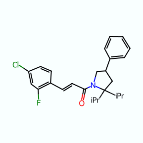 CC(C)C1(C(C)C)CC(c2ccccc2)CN1C(=O)/C=C/c1ccc(Cl)cc1F